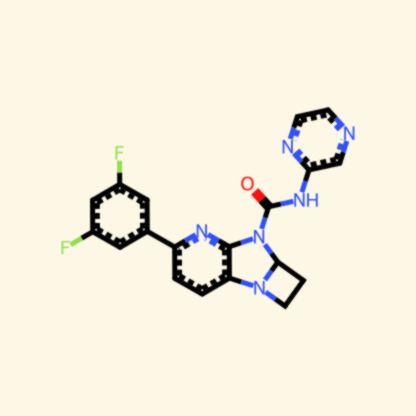 O=C(Nc1cnccn1)N1c2nc(-c3cc(F)cc(F)c3)ccc2N2CCC21